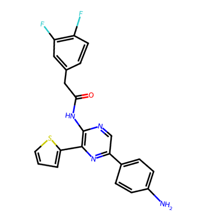 Nc1ccc(-c2cnc(NC(=O)Cc3ccc(F)c(F)c3)c(-c3cccs3)n2)cc1